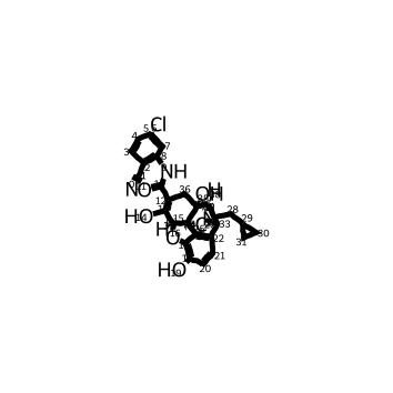 N#Cc1ccc(Cl)cc1NC(=O)C1=C(O)[C@@H]2Oc3c(O)ccc4c3[C@@]23CCN(CC2CC2)[C@H](C4)[C@]3(O)C1